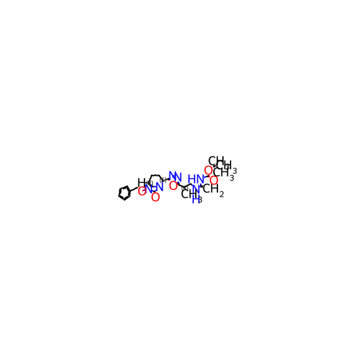 C=C(NC[C@H](C)c1nnc([C@@H]2CC[C@@H]3CN2C(=O)N3OCc2ccccc2)o1)NC(=O)OC(C)(C)C